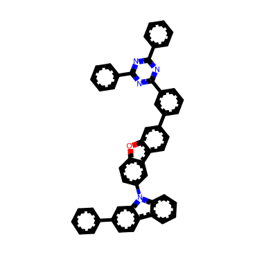 c1ccc(-c2ccc3c4ccccc4n(-c4ccc5oc6cc(-c7cccc(-c8nc(-c9ccccc9)nc(-c9ccccc9)n8)c7)ccc6c5c4)c3c2)cc1